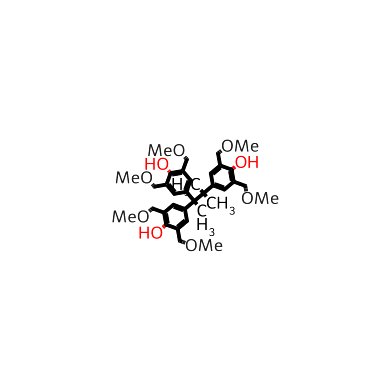 COCc1cc(C(C)(C)C(C)(c2cc(COC)c(O)c(COC)c2)c2cc(COC)c(O)c(COC)c2)cc(COC)c1O